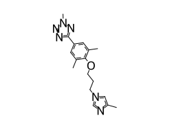 Cc1cn(CCCOc2c(C)cc(-c3nnn(C)n3)cc2C)cn1